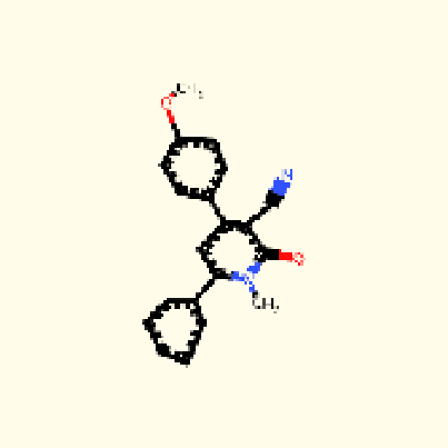 COc1ccc(-c2cc(-c3ccccc3)n(C)c(=O)c2C#N)cc1